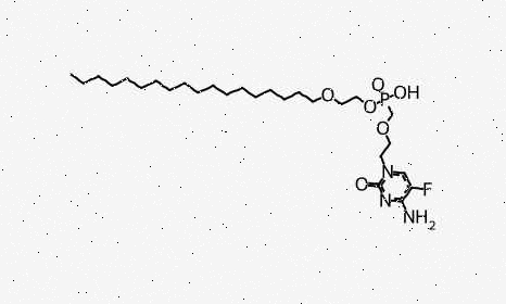 CCCCCCCCCCCCCCCCCCOCCOP(=O)(O)COCCn1cc(F)c(N)nc1=O